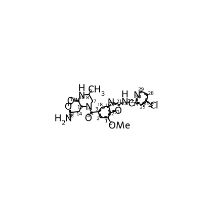 COc1cc(C(=O)N2CC(C)NC(=O)C2CC(N)=O)cc2nc(NCc3cc(Cl)ccn3)oc12